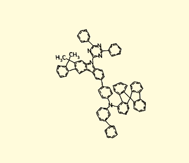 CC1(C)c2ccccc2-c2cc3c4cc(-c5ccc(N(c6cccc(-c7ccccc7)c6)c6cccc7c6-c6ccccc6C76c7ccccc7-c7ccccc76)cc5)ccc4n(-c4nc(-c5ccccc5)nc(-c5ccccc5)n4)c3cc21